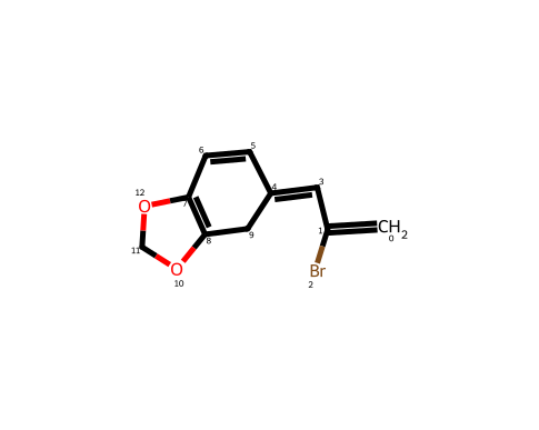 C=C(Br)C=C1C=CC2=C(C1)OCO2